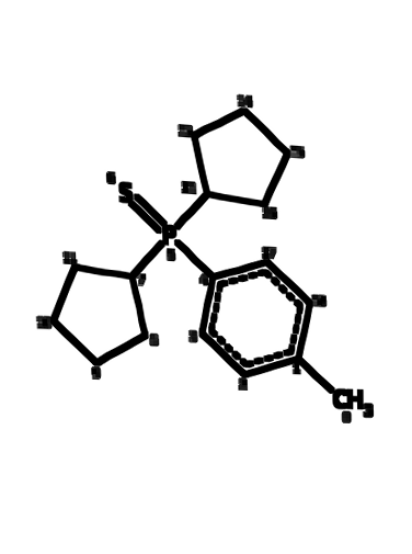 Cc1ccc(P(=S)(C2CCCC2)C2CCCC2)cc1